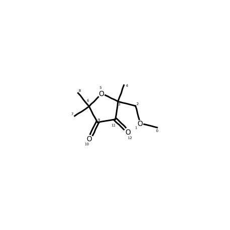 COCC1(C)OC(C)(C)C(=O)C1=O